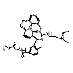 CCN(CC)CCCNc1nc(-c2cc(C(=O)NCC(=O)NC)ccc2C)c2ccc(=O)n(-c3c(F)cccc3F)c2n1